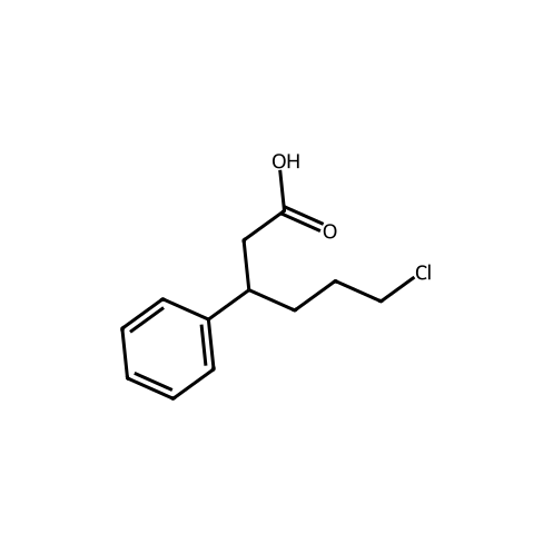 O=C(O)CC(CCCCl)c1ccccc1